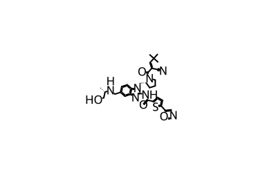 C[C@@H](CO)NCc1ccc2c(c1)nc(NC(=O)c1ccc(-c3cnco3)s1)n2C[C@H]1CCCN1C(=O)/C(C#N)=C/C(C)(C)C